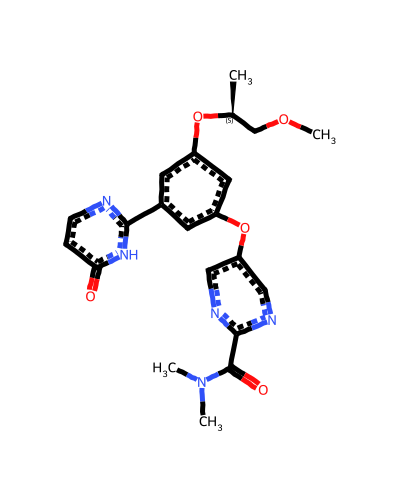 COC[C@H](C)Oc1cc(Oc2cnc(C(=O)N(C)C)nc2)cc(-c2nccc(=O)[nH]2)c1